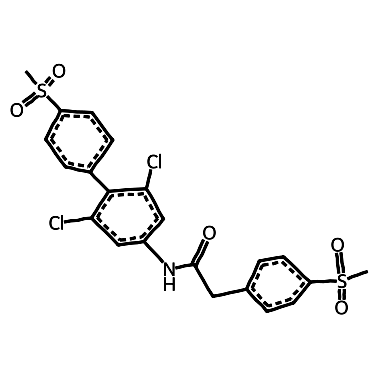 CS(=O)(=O)c1ccc(CC(=O)Nc2cc(Cl)c(-c3ccc(S(C)(=O)=O)cc3)c(Cl)c2)cc1